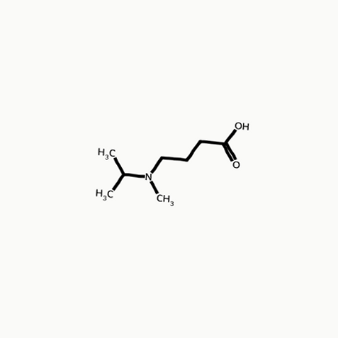 CC(C)N(C)CCCC(=O)O